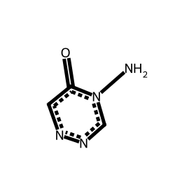 Nn1cnncc1=O